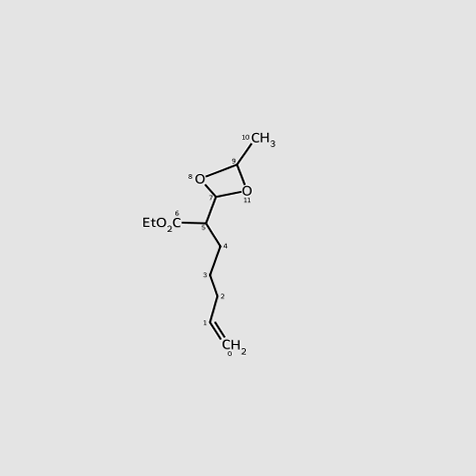 C=CCCCC(C(=O)OCC)C1OC(C)O1